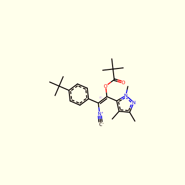 [C-]#[N+]/C(=C(/OC(=O)C(C)(C)C)c1c(C)c(C)nn1C)c1ccc(C(C)(C)C)cc1